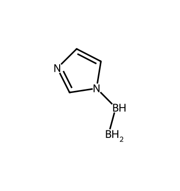 BBn1ccnc1